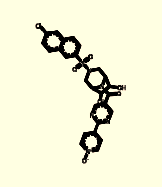 O=C(c1cnc(-c2cc[n+]([O-])cc2)nc1)N1C2CN(S(=O)(=O)c3ccc4cc(Cl)ccc4c3)CC1C(O)C2O